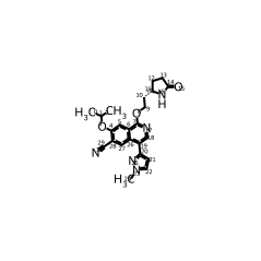 CC(C)Oc1cc2c(OCC[C@@H]3CCC(=O)N3)ncc(-c3ccn(C)n3)c2cc1C#N